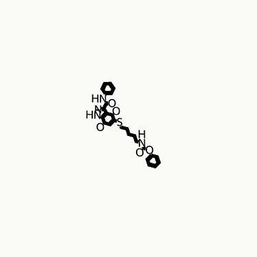 O=C(NCCCCCSC1=CC(=O)c2[nH]nc(C(=O)Nc3ccccc3)c2C1=O)Oc1ccccc1